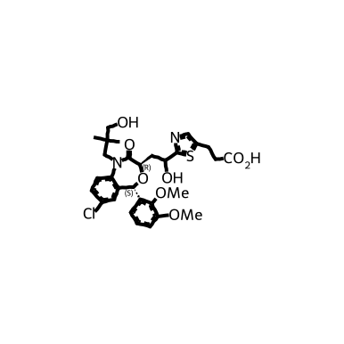 COc1cccc([C@H]2O[C@H](CC(O)c3ncc(CCC(=O)O)s3)C(=O)N(CC(C)(C)CO)c3ccc(Cl)cc32)c1OC